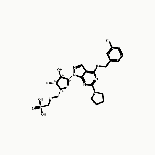 O=P(O)(O)COC[C@H]1O[C@@H](n2ncc3c(NCc4cccc(Cl)c4)nc(N4CCCC4)nc32)[C@H](O)[C@@H]1O